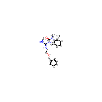 CCNC(=NCCOCc1ccccc1)NC(=O)N(CC)c1c(C)cccc1CC